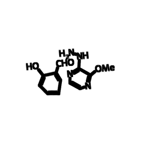 COc1nccnc1NN.O=Cc1ccccc1O